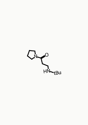 CC(C)(C)NCCC(=O)N1CCCC1